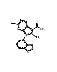 Cc1ncc2c(C(N)=O)c(N)n(-c3cccc4sccc34)c2n1